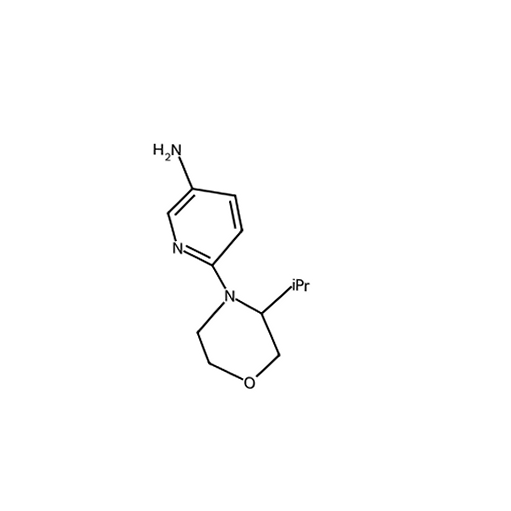 CC(C)C1COCCN1c1ccc(N)cn1